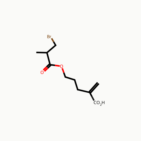 C=C(CCCOC(=O)C(C)CBr)C(=O)O